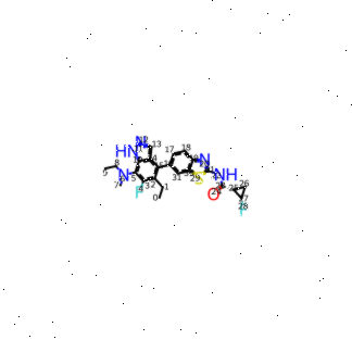 CCc1c(F)c(N(C)CC)c2[nH]ncc2c1-c1ccc2nc(NC(=O)[C@@H]3C[C@@H]3F)sc2c1